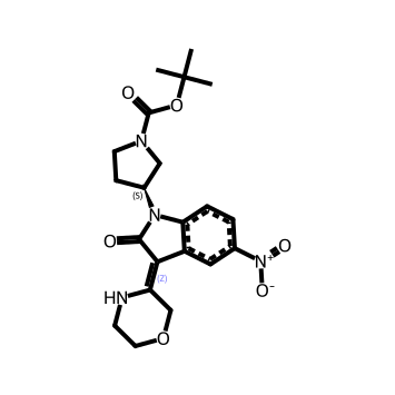 CC(C)(C)OC(=O)N1CC[C@H](N2C(=O)/C(=C3/COCCN3)c3cc([N+](=O)[O-])ccc32)C1